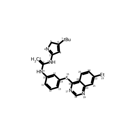 C=C(NC1=NCC(C(C)(C)C)=C1)Nc1cccc(Sc2ncnc3cc(CC)ccc23)c1